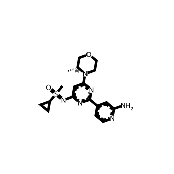 C[C@@H]1COCCN1c1cc(N=S(C)(=O)C2CC2)nc(-c2ccnc(N)c2)n1